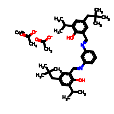 CC(=O)[O-].CC(=O)[O-].CC(C)c1cc(CC(C)(C)C)cc(C=Nc2cccc(N=Cc3cc(CC(C)(C)C)cc(C(C)C)c3O)c2)c1O.[Co+2]